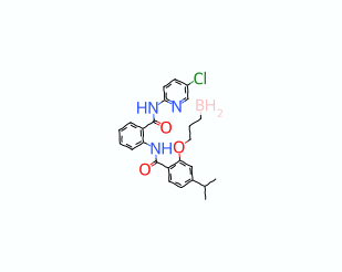 BCCCOc1cc(C(C)C)ccc1C(=O)Nc1ccccc1C(=O)Nc1ccc(Cl)cn1